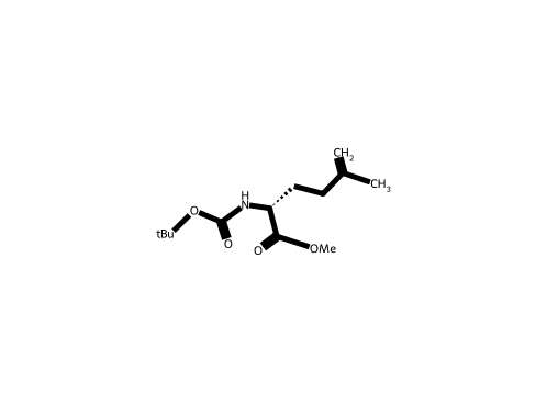 C=C(C)CC[C@@H](NC(=O)OC(C)(C)C)C(=O)OC